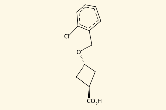 O=C(O)[C@H]1C[C@H](OCc2ccccc2Cl)C1